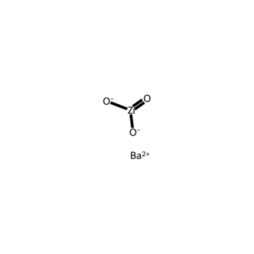 [Ba+2].[O]=[Zr]([O-])[O-]